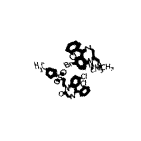 COCC1CN=C(c2ccccc2Cl)c2cc(Br)ccc2N1C.Cc1ccc(S(=O)(=O)CCN2C(=O)CN=C(c3ccccc3Cl)c3cc(Cl)ccc32)cc1